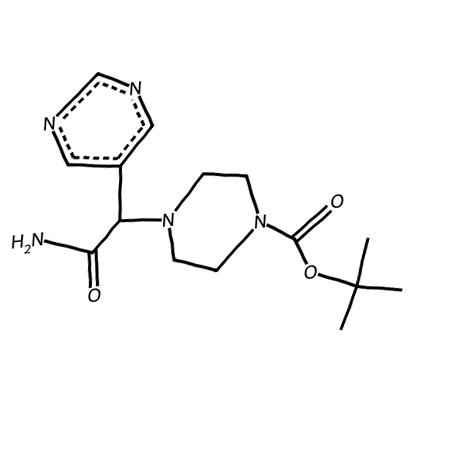 CC(C)(C)OC(=O)N1CCN(C(C(N)=O)c2cncnc2)CC1